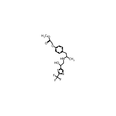 COC(=O)COc1ccc(CC(C)NCC(O)c2cnc(C(F)(F)F)s2)cc1